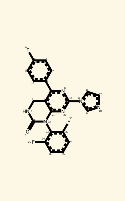 O=C1NCc2c(-c3ccc(F)cc3)nc(-n3ccnc3)nc2N1c1c(F)cccc1F